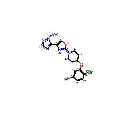 CC(=O)On1nnnc1-c1coc(N2CCC(Oc3cc(F)ccc3Br)CC2)n1